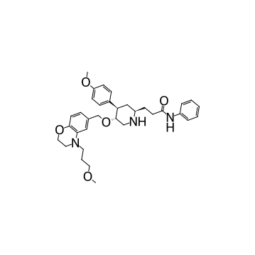 COCCCN1CCOc2ccc(CO[C@H]3CN[C@H](CCC(=O)Nc4ccccc4)C[C@@H]3c3ccc(OC)cc3)cc21